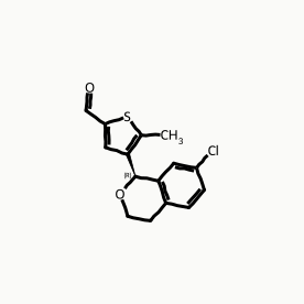 Cc1sc(C=O)cc1[C@@H]1OCCc2ccc(Cl)cc21